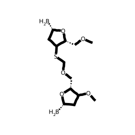 B[C@H]1CC(OC)[C@@H](COCSC2C[C@H](B)O[C@@H]2COC)O1